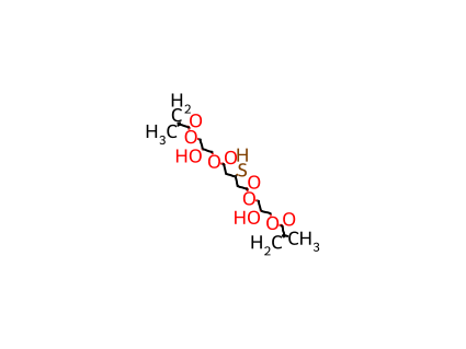 C=C(C)C(=O)OCC(O)COC(=O)CC(S)CC(=O)OCC(O)COC(=O)C(=C)C